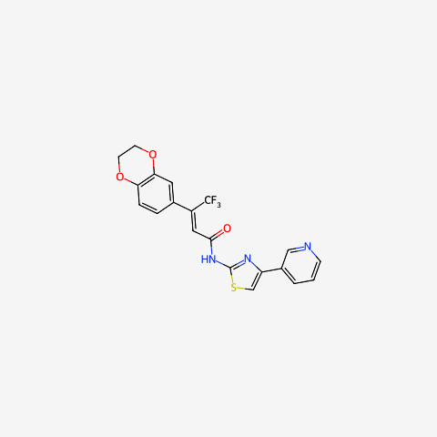 O=C(/C=C(/c1ccc2c(c1)OCCO2)C(F)(F)F)Nc1nc(-c2cccnc2)cs1